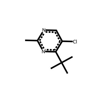 Cc1ncc(Cl)c(C(C)(C)C)n1